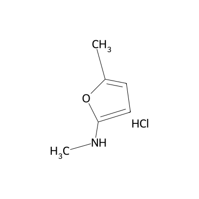 CNc1ccc(C)o1.Cl